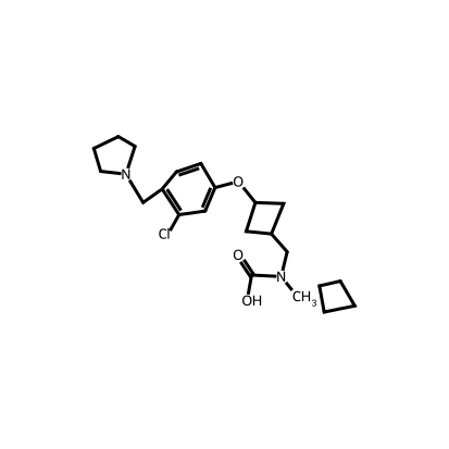 C1CCC1.CN(CC1CC(Oc2ccc(CN3CCCC3)c(Cl)c2)C1)C(=O)O